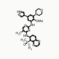 COc1c(Nc2ncc(C)c(Nc3ccc4nccnc4c3P(C)(C)=O)n2)cc(-c2cn[nH]c2)cc1N1CCOCC1